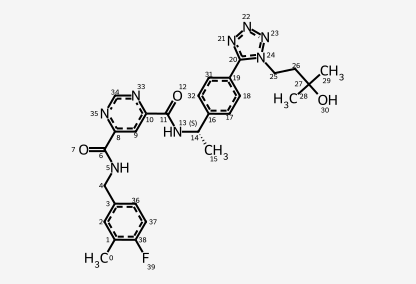 Cc1cc(CNC(=O)c2cc(C(=O)N[C@@H](C)c3ccc(-c4nnnn4CCC(C)(C)O)cc3)ncn2)ccc1F